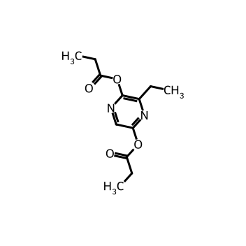 CCC(=O)Oc1cnc(OC(=O)CC)c(CC)n1